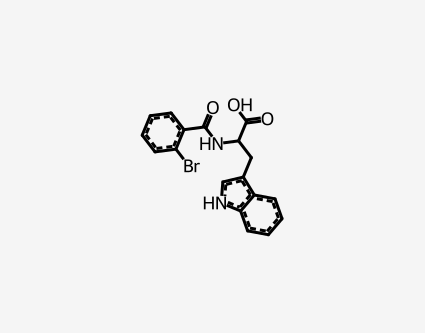 O=C(NC(Cc1c[nH]c2ccccc12)C(=O)O)c1ccccc1Br